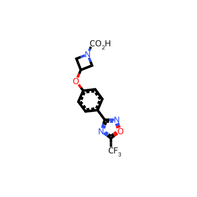 O=C(O)N1CC(Oc2ccc(-c3noc(C(F)(F)F)n3)cc2)C1